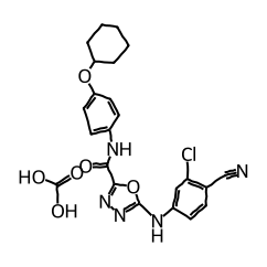 N#Cc1ccc(Nc2nnc(C(=O)Nc3ccc(OC4CCCCC4)cc3)o2)cc1Cl.O=C(O)O